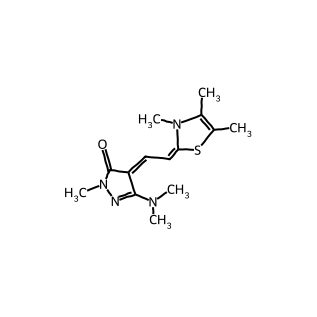 CC1=C(C)N(C)/C(=C\C=C2\C(=O)N(C)N=C2N(C)C)S1